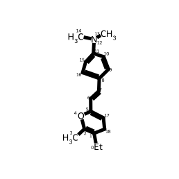 CCC1=C(C)OC(C=Cc2ccc(N(C)C)cc2)=CC1